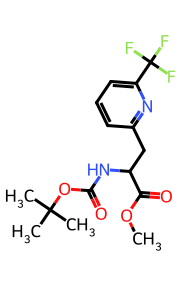 COC(=O)C(Cc1cccc(C(F)(F)F)n1)NC(=O)OC(C)(C)C